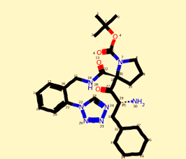 CC(C)(C)OC(=O)N1CCC[C@]1(C(=O)NCc1ccccc1-n1cnnn1)C(=O)[C@H](N)CC1CCCCC1